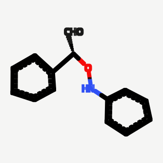 O=C[C@H](ONc1ccccc1)c1ccccc1